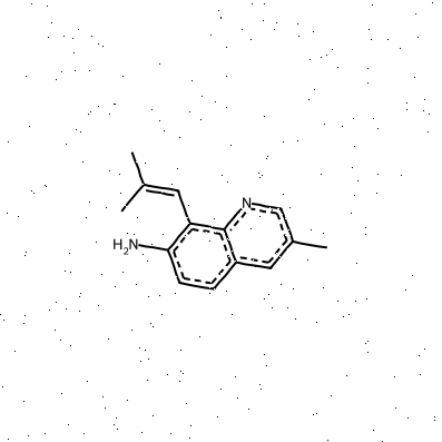 CC(C)=Cc1c(N)ccc2cc(C)cnc12